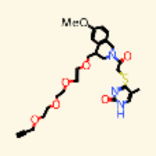 C#CCOCCOCCOCCOCC1CN(C(=O)CSc2nc(=O)[nH]cc2C)Cc2ccc(OC)cc21